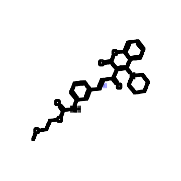 COCCOC(=O)Nc1cccc(/C=C/C(=O)c2c(N3CCCCC3)c3ccccc3oc2=O)c1